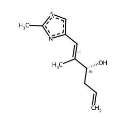 C=CC[C@@H](O)/C(C)=C/c1csc(C)n1